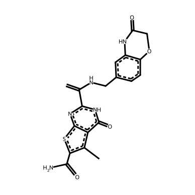 C=C(NCc1ccc2c(c1)NC(=O)CO2)c1nc2sc(C(N)=O)c(C)c2c(=O)[nH]1